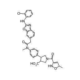 CC1C=C(C(=O)N2CC(C(=O)O)C(c3ccc(N(C)C(=O)Cc4ccc5nc(Nc6ccccc6Cl)oc5c4)cc3)C2)NO1